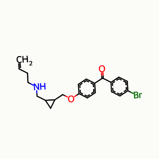 C=CCCNCC1CC1COc1ccc(C(=O)c2ccc(Br)cc2)cc1